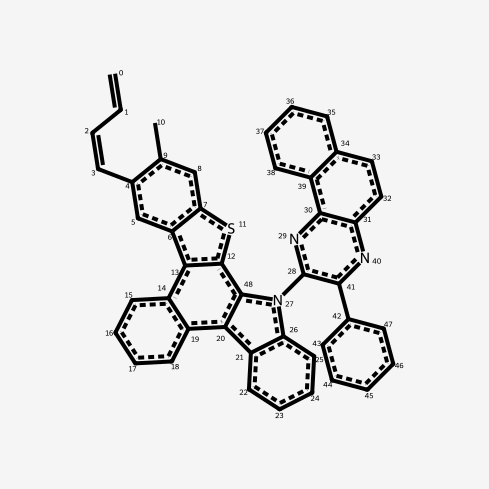 C=C/C=C\c1cc2c(cc1C)sc1c2c2ccccc2c2c3ccccc3n(-c3nc4c(ccc5ccccc54)nc3-c3ccccc3)c12